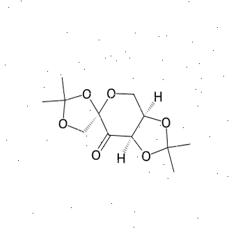 CC1(C)O[C@@H]2CO[C@@]3(COC(C)(C)O3)C(=O)[C@@H]2O1